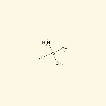 CC(N)(O)F